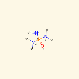 C=NP(=O)(N(C)C)N(C)C